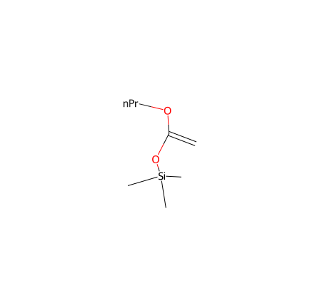 C=C(OCCC)O[Si](C)(C)C